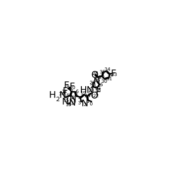 Cc1ncc(-c2cc(C(F)(F)F)c3c(N)ncnn23)cc1C(=O)N[C@@H]1CN(C(=O)c2ccc(F)cc2)CC1F